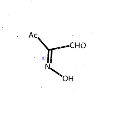 CC(=O)/C(C=O)=N/O